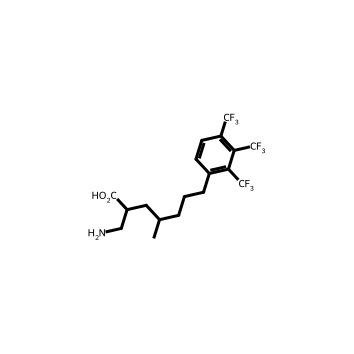 CC(CCCc1ccc(C(F)(F)F)c(C(F)(F)F)c1C(F)(F)F)CC(CN)C(=O)O